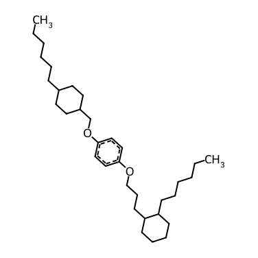 CCCCCCC1CCC(COc2ccc(OCCCC3CCCCC3CCCCCC)cc2)CC1